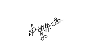 COCC1(CN(C)c2cc(-c3cc(F)cc(C(F)(F)F)c3)nc3nc(-c4cnc(N5CCC(F)(C(=O)O)CC5)cn4)[nH]c23)CCC1